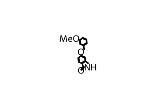 COc1cccc(COc2ccc3c(c2)CNC3=O)c1